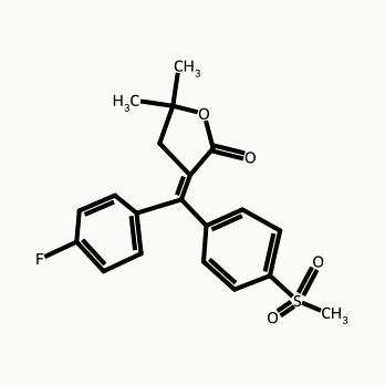 CC1(C)CC(=C(c2ccc(F)cc2)c2ccc(S(C)(=O)=O)cc2)C(=O)O1